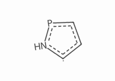 [c]1ccp[nH]1